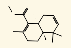 COC(=O)C1=C(C)CC[C@H]2C(C)(C)C=CC[C@]12C